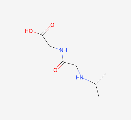 CC(C)NCC(=O)NCC(=O)O